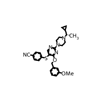 COc1cccc(COc2nc(N3CCN([C@@H](C)C4CC4)CC3)ncc2Sc2ccc(C#N)cc2)c1